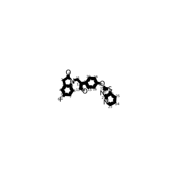 O=C1Cc2cc(F)ccc2N1Cc1coc2cc(Oc3nc4ncccc4s3)ccc12